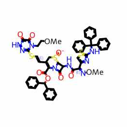 COCCn1c(S/C=C/C2=C(C(=O)OC(c3ccccc3)c3ccccc3)N3C(=O)C(NC(=O)/C(=N/OC)c4csc(NC(c5ccccc5)(c5ccccc5)c5ccccc5)n4)C3[S+]([O-])C2)n[nH]c(=O)c1=O